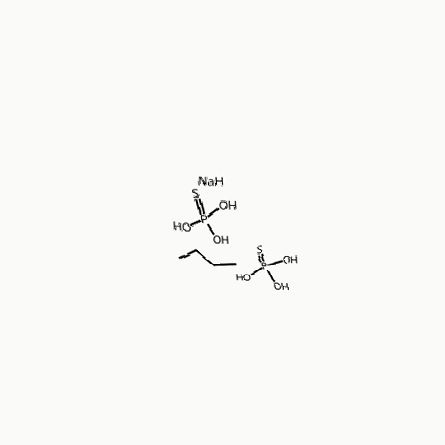 CCCC.OP(O)(O)=S.OP(O)(O)=S.[NaH]